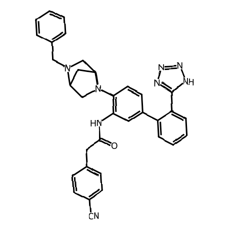 N#Cc1ccc(CC(=O)Nc2cc(-c3ccccc3-c3nnn[nH]3)ccc2N2CC3CC2CN3Cc2ccccc2)cc1